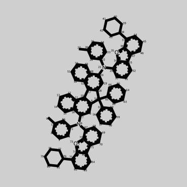 Cc1cccc(N(c2cc3c(c4ccccc24)-c2c(cc(N(c4cccc(C)c4)c4cccc5c4oc4c(C6CCCCC6)cccc45)c4ccccc24)C3(c2ccccc2)c2ccccc2)c2cccc3c2oc2c(C4CCCCC4)cccc23)c1